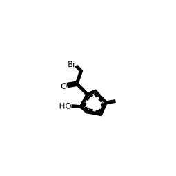 Cc1ccc(O)c(C(=O)CBr)c1